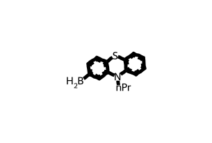 Bc1ccc2c(c1)N(CCC)c1ccccc1S2